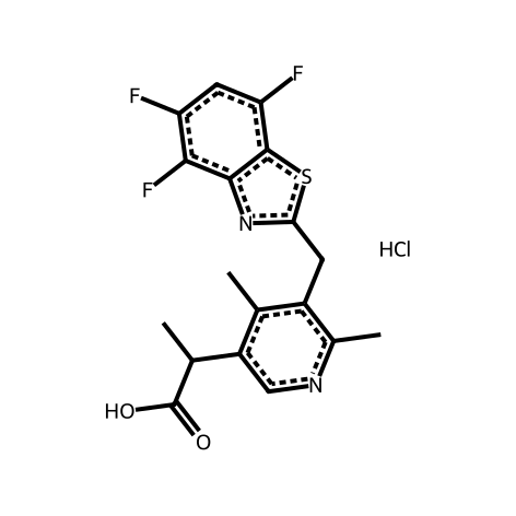 Cc1ncc(C(C)C(=O)O)c(C)c1Cc1nc2c(F)c(F)cc(F)c2s1.Cl